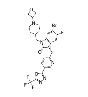 O=c1n(Cc2ccc(-c3nnc(C(F)(F)F)o3)cn2)c2cc(F)c(Br)cc2n1CC1CCN(C2COC2)CC1